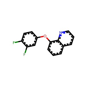 Fc1ccc(Oc2cccc3cccnc23)cc1F